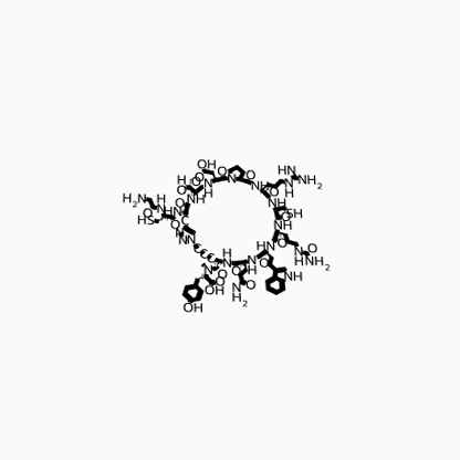 C[C@@H](O)[C@@H]1NC(=O)[C@@H](NC(=O)[C@H](CS)NC(=O)CN)Cc2cn(nn2)CCC[C@@H](C(=O)N(C)[C@@H](Cc2ccc(O)cc2)C(=O)O)NC(=O)[C@H](CCC(N)=O)NC(=O)[C@H](CCc2c[nH]c3ccccc23)NC(=O)[C@H](CCCNC(N)=O)NC(=O)C(CS)NC(=O)[C@H](CCCNC(=N)N)NC(=O)C2CCCN2C(=O)[C@H](CC(=O)O)NC1=O